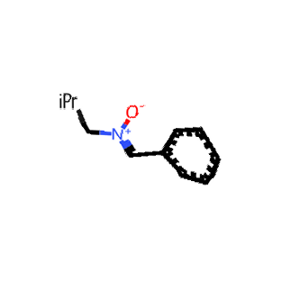 CC(C)C[N+]([O-])=Cc1ccccc1